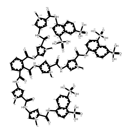 Cn1cc(NC(=O)c2cccc(C(=O)Nc3cc(C(=O)Nc4cc(C(=O)Nc5ccc(P(=O)(O)O)c6cc(P(=O)(O)O)ccc56)n(C)c4)n(C)c3)c2C(=O)Nc2cc(C(=O)Nc3cc(C(=O)Nc4ccc(P(=O)(O)O)c5cc(P(=O)(O)O)ccc45)n(C)c3)n(C)c2)cc1C(=O)Nc1cc(C(=O)Nc2ccc(P(=O)(O)O)c3cc(P(=O)(O)O)ccc23)n(C)c1